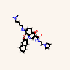 CN(C)CCCCNc1ccc2c(=O)c(C(=O)NCCN3CCCC3)cn3c2c1Oc1cc2ccccc2cc1-3